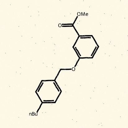 CCCCc1ccc(COc2cccc(C(=O)OC)c2)cc1